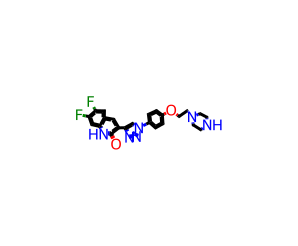 O=c1[nH]c2cc(F)c(F)cc2cc1-c1cn(-c2ccc(OCCN3CCNCC3)cc2)nn1